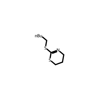 CCCCCSC1=NCCCS1